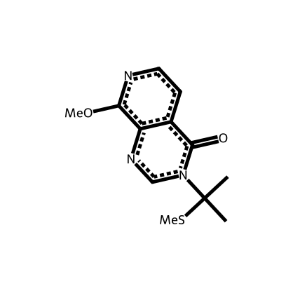 COc1nccc2c(=O)n(C(C)(C)SC)cnc12